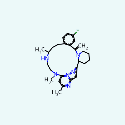 C=C1c2cc(F)ccc2CCC(C)NCCN(C)c2cc(C)nc3cc(nn23)C2CCCCN12